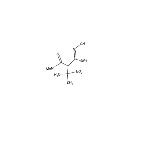 CNC(=O)C(C(=NO)SC)C(C)(C)[N+](=O)[O-]